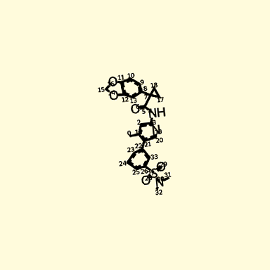 Cc1cc(NC(=O)C2(c3ccc4c(c3)OCO4)CC2)ncc1-c1cccc(S(=O)(=O)N(C)C)c1